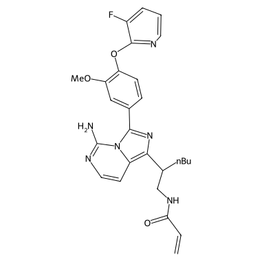 C=CC(=O)NCC(CCCC)c1nc(-c2ccc(Oc3ncccc3F)c(OC)c2)n2c(N)nccc12